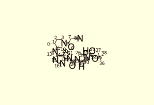 C[C@@H]1CCN(C(=O)CC#N)C[C@@H]1N(C)c1ncnc2c1ccn2C(=O)N1C[C@@H]2C[C@H]1CN2C(=O)OC(C)(C)C